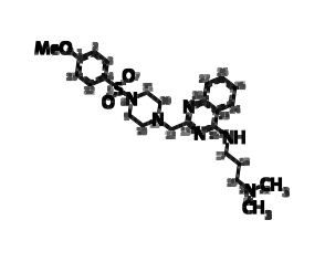 COc1ccc(S(=O)(=O)N2CCN(Cc3nc(NCCCN(C)C)c4ccccc4n3)CC2)cc1